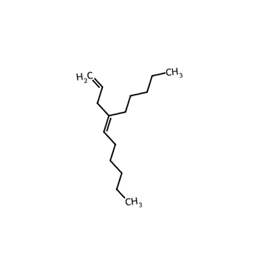 C=CC/C(=C/CCCCC)CCCCC